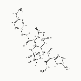 CON=C(C(=O)NC1S[C@H]2CC(=O)N2C(C(=O)OCc2ccc(OC)cc2)=C1OS(=O)(=O)C(F)(F)F)c1csc(N)n1